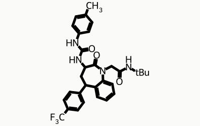 Cc1ccc(NC(=O)NC2CC(c3ccc(C(F)(F)F)cc3)c3ccccc3N(CC(=O)NC(C)(C)C)C2=O)cc1